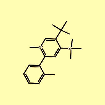 Cc1ccccc1-c1cc([Si](C)(C)C)c(C(C)(C)C)c[n+]1C